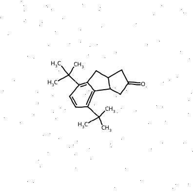 CC(C)(C)c1ccc(C(C)(C)C)c2c1CC1CC(=O)CC21